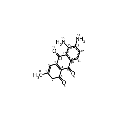 CC1=CC2=C(C(=O)C1)C(=O)c1ccc(N)c(N)c1C2=O